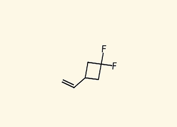 C=CC1CC(F)(F)C1